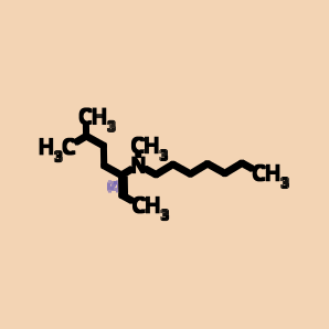 C/C=C(/CCC(C)C)N(C)CCCCCCC